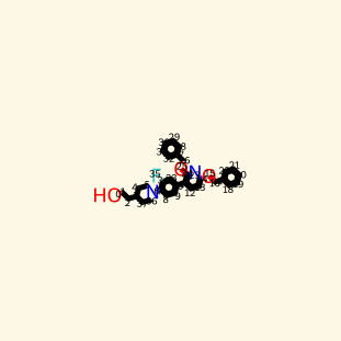 OCCC1CCN(c2ccc(-c3ccc(OCc4ccccc4)nc3OCc3ccccc3)cc2F)CC1